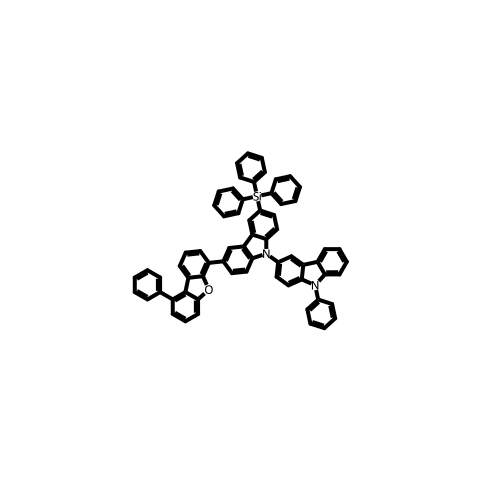 c1ccc(-c2cccc3oc4c(-c5ccc6c(c5)c5cc([Si](c7ccccc7)(c7ccccc7)c7ccccc7)ccc5n6-c5ccc6c(c5)c5ccccc5n6-c5ccccc5)cccc4c23)cc1